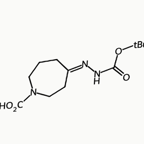 CC(C)(C)OC(=O)NN=C1CCCN(C(=O)O)CC1